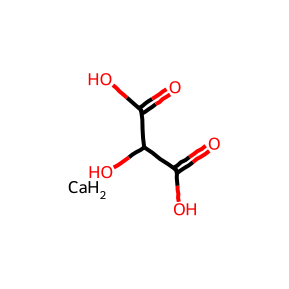 O=C(O)C(O)C(=O)O.[CaH2]